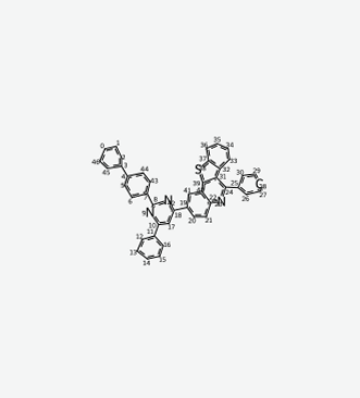 c1ccc(-c2ccc(-c3nc(-c4ccccc4)cc(-c4ccc5nc(-c6ccccc6)c6c7ccccc7sc6c5c4)n3)cc2)cc1